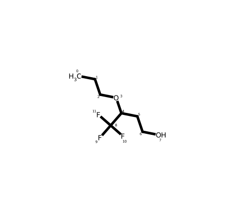 CCCOC(CCO)C(F)(F)F